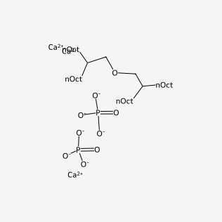 CCCCCCCCC(CCCCCCCC)COCC(CCCCCCCC)CCCCCCCC.O=P([O-])([O-])[O-].O=P([O-])([O-])[O-].[Ca+2].[Ca+2].[Ca+2]